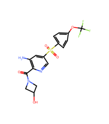 Nc1cc(S(=O)(=O)c2ccc(OC(F)(F)F)cc2)cnc1C(=O)N1CC(O)C1